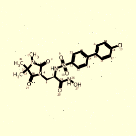 CN1C(=O)N(C[C@@H](NS(=O)(=O)c2ccc(-c3ccc(Cl)cc3)cc2)C(=O)NO)C(=O)C1(C)C